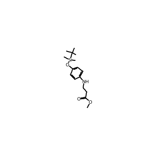 COC(=O)CCNc1ccc(O[Si](C)(C)C(C)(C)C)cc1